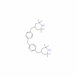 CC1(C)CC(Cc2ccc(Cc3ccc(CC4CC(C)(C)NC(C)(C)C4)cc3)cc2)CC(C)(C)N1